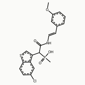 COc1cccc(/C=C/NC(=O)C(c2csc3ccc(Cl)cc23)P(C)(=O)O)c1